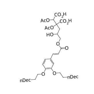 CCCCCCCCCCCCOc1ccc(C=CC(=O)OCC(O)CC(OC(C)=O)(C(=O)O)C(OC(C)=O)C(=O)O)cc1OCCCCCCCCCCCC